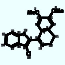 COc1cc2c(cc1OC)C(c1sc3ccccc3c1Cl)=NCC2